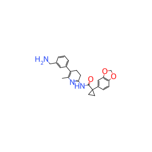 CC1=C(c2cccc(CN)c2)CCC(NC(=O)C2(c3ccc4c(c3)OCO4)CC2)=N1